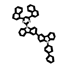 c1ccc(-c2ccc(-n3c4ccccc4c4cc(-c5ccc6c(c5)c5ccccc5n6-c5nc(-c6cccc7ccccc67)cc(-c6cccc7ccccc67)n5)ccc43)cc2)cc1